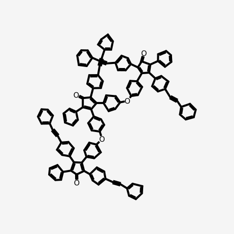 O=C1C(c2ccccc2)=C(c2ccc(C#Cc3ccccc3)cc2)C(c2ccc(Oc3ccc(C4=C(c5ccccc5)C(=O)C(c5ccc(C#Cc6ccccc6)cc5)=C4c4ccc(Oc5ccc(C6=C(c7ccc(C#Cc8ccccc8)cc7)C(=O)C(c7ccccc7)=C6c6ccc(C#Cc7ccccc7)cc6)cc5)cc4)cc3)cc2)=C1c1ccc(C#Cc2ccccc2)cc1